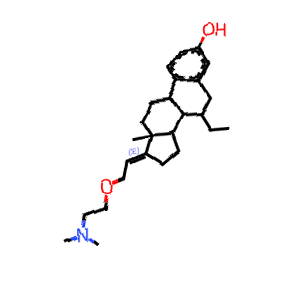 CCC1Cc2cc(O)ccc2C2CCC3(C)/C(=C/COCCN(C)C)CCC3C12